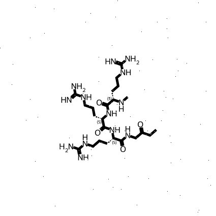 CCC(=O)CNC(=O)[C@H](CCCNC(=N)N)NC(=O)[C@H](CCCNC(=N)N)NC(=O)[C@H](CCCNC(=N)N)NC